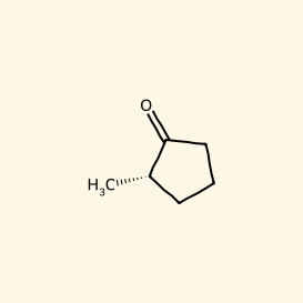 C[C@H]1CCCC1=O